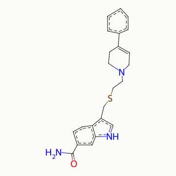 NC(=O)c1ccc2c(CSCCN3CC=C(c4ccccc4)CC3)c[nH]c2c1